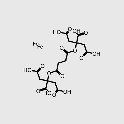 O=C(O)CC(CC(=O)O)(OC(=O)CCC(=O)OC(CC(=O)O)(CC(=O)O)C(=O)O)C(=O)O.[Fe].[Fe]